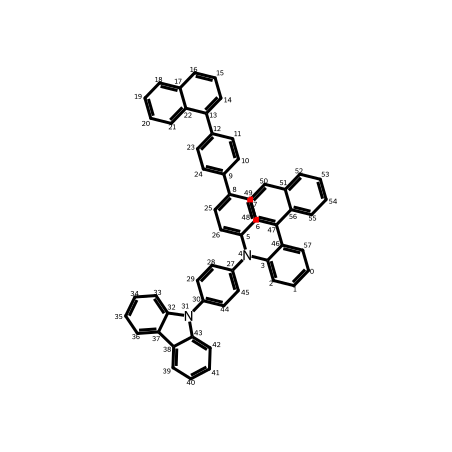 c1ccc(N(c2ccc(-c3ccc(-c4cccc5ccccc45)cc3)cc2)c2ccc(-n3c4ccccc4c4ccccc43)cc2)c(-c2cccc3ccccc23)c1